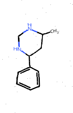 CC1CC(c2ccccc2)NCN1